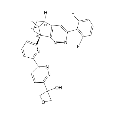 CC1(C)[C@H]2CC[C@@]1(c1cccc(-c3ccc(C4(O)COC4)nn3)n1)c1nnc(-c3c(F)cccc3F)cc12